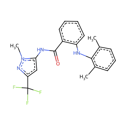 Cc1cccc(C)c1Nc1ccccc1C(=O)Nc1cc(C(F)(F)F)nn1C